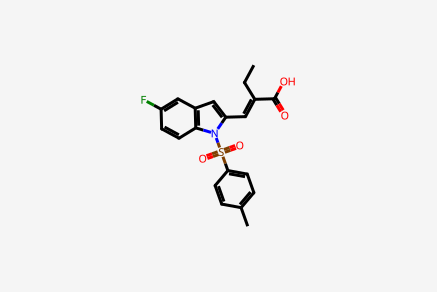 CCC(=Cc1cc2cc(F)ccc2n1S(=O)(=O)c1ccc(C)cc1)C(=O)O